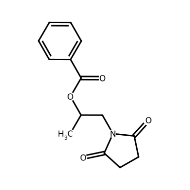 CC(CN1C(=O)CCC1=O)OC(=O)c1ccccc1